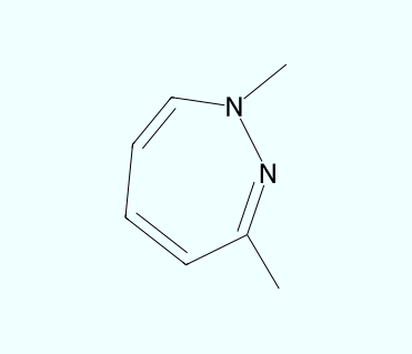 CC1=NN(C)C=CC=C1